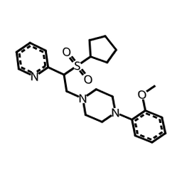 COc1ccccc1N1CCN(CC(c2ccccn2)S(=O)(=O)C2CCCC2)CC1